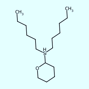 CCCCCC[SiH](CCCCCC)C1CCCCO1